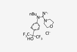 CCCCN(C(=[N+])N1CCOCC1)c1ccc(C(O)(C(F)(F)F)C(F)(F)F)cc1.[Cl-]